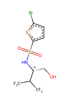 O=S(=O)(N[C@H](CO)C(C(F)(F)F)C(F)(F)F)c1ccc(Br)s1